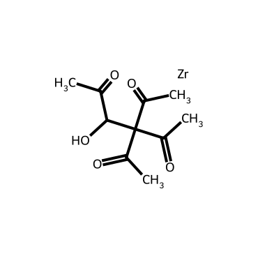 CC(=O)C(O)C(C(C)=O)(C(C)=O)C(C)=O.[Zr]